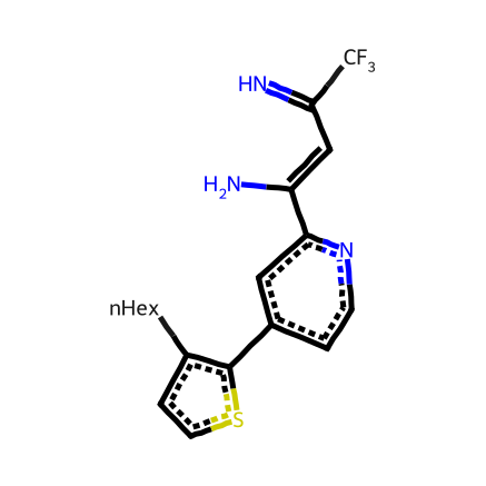 CCCCCCc1ccsc1-c1ccnc(/C(N)=C/C(=N)C(F)(F)F)c1